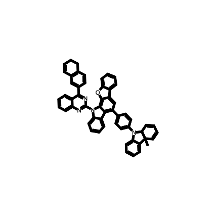 CC12C=CC=CC1N(c1ccc(-c3cc4c5ccccc5oc4c4c3c3ccccc3n4-c3nc(-c4ccc5c(c4)C=CCC5)c4ccccc4n3)cc1)c1ccccc12